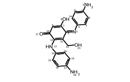 Nc1ccc(N=C2C(O)=CC(=O)C(Nc3ccc(N)cc3)=C2CO)cc1